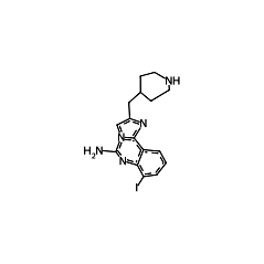 Nc1nc2c(I)cccc2c2nc(CC3CCNCC3)cn12